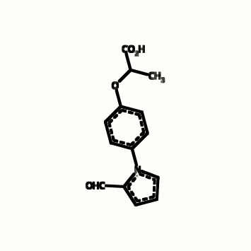 CC(Oc1ccc(-n2cccc2C=O)cc1)C(=O)O